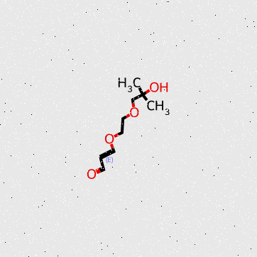 CC(C)(O)COCCO/C=C/C=O